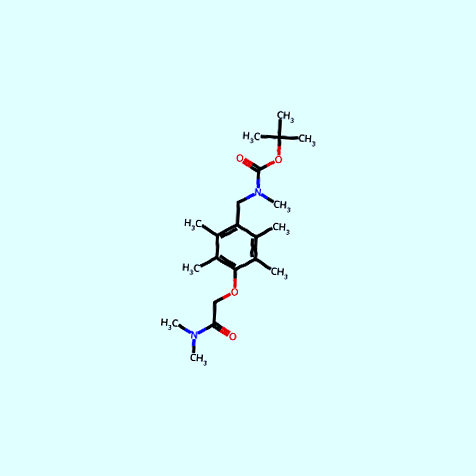 Cc1c(C)c(OCC(=O)N(C)C)c(C)c(C)c1CN(C)C(=O)OC(C)(C)C